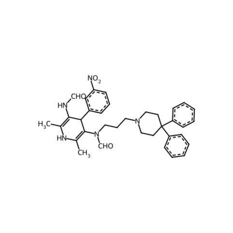 CC1=C(NC=O)C(c2cccc([N+](=O)[O-])c2)C(N(C=O)CCCN2CCC(c3ccccc3)(c3ccccc3)CC2)=C(C)N1